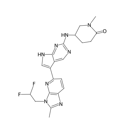 Cc1nc2ccc(-c3c[nH]c4nc(NC5CCC(=O)N(C)C5)ncc34)nc2n1CC(F)F